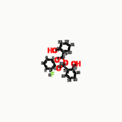 Fc1ccccc1.O=C(OC(=O)c1ccccc1O)c1ccccc1O